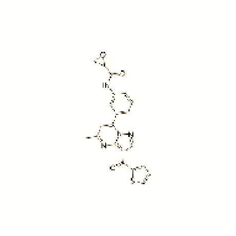 Cc1cc(-c2cccc(NC(=O)C3CO3)c2)n2ncc(C(=O)c3cccs3)c2n1